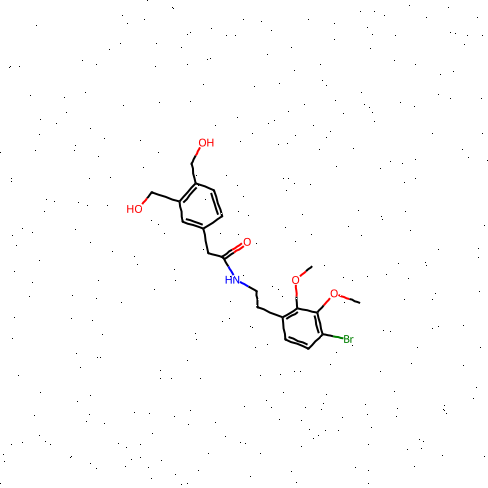 COc1c(Br)ccc(CCNC(=O)Cc2ccc(CO)c(CO)c2)c1OC